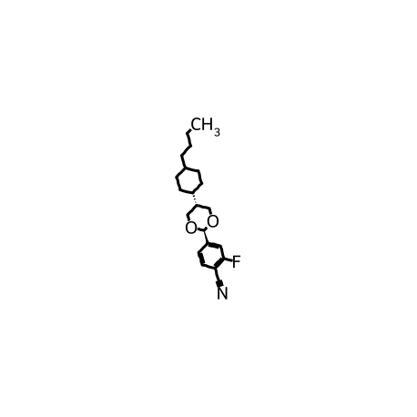 CCCCC1CCC([C@H]2CO[C@H](c3ccc(C#N)c(F)c3)OC2)CC1